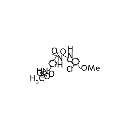 COCc1ccc2[nH]c(C(=O)NC3(c4ccc(C(=O)NS(C)(=O)=O)cc4)COC3)cc2c1Cl